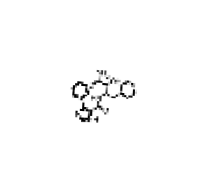 NC(=O)C(O)C(Cc1ccccc1)NC(=O)c1[nH]cnc1-c1ccccc1